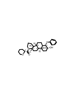 C[C@]12CC[C@@H](O)[C@H](Oc3ccccc3)C1CC[C@@H]1[C@@H]2CC[C@@]2(C)[C@H]1CCCN2C(=O)[C@H]1CCCCO1